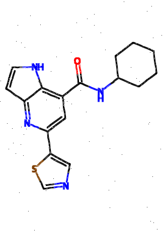 O=C(NC1CCCCC1)c1cc(-c2cncs2)nc2cc[nH]c12